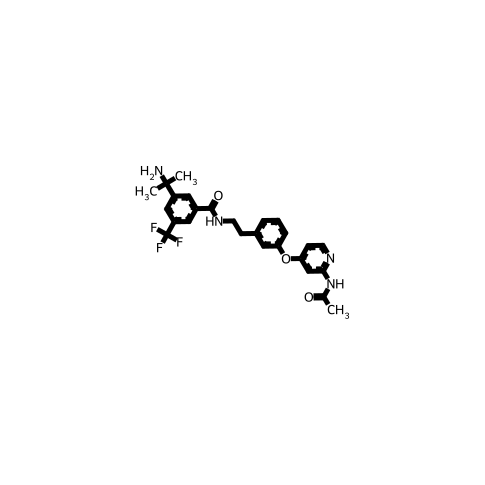 CC(=O)Nc1cc(Oc2cccc(CCNC(=O)c3cc(C(C)(C)N)cc(C(F)(F)F)c3)c2)ccn1